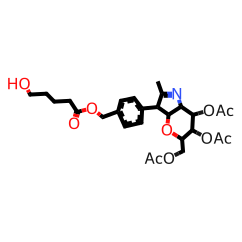 CC(=O)OCC1OC2C(c3ccc(COC(=O)CCCCO)cc3)C(C)=NC2C(OC(C)=O)C1OC(C)=O